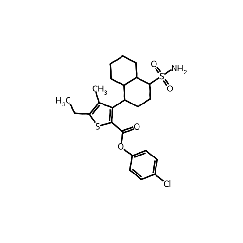 CCc1sc(C(=O)Oc2ccc(Cl)cc2)c(C2CCC(S(N)(=O)=O)C3CCCCC23)c1C